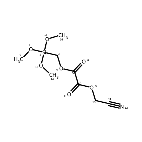 CO[Si](COC(=O)C(=O)OCC#N)(OC)OC